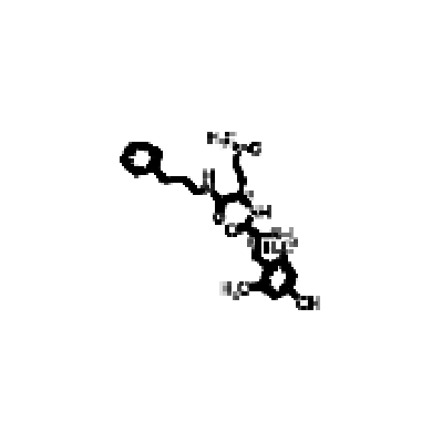 Cc1cc(O)cc(C)c1C[C@H](N)C(=O)N[C@H](CC[S+](C)[O-])C(=O)NCCCc1ccccc1